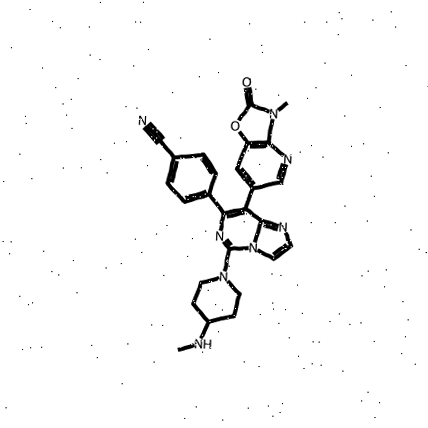 CNC1CCN(c2nc(-c3ccc(C#N)cc3)c(-c3cnc4c(c3)oc(=O)n4C)c3nccn23)CC1